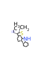 C=Cc1sc2c(ccc3c4ccccc4[nH]c32)c1/C=C\C